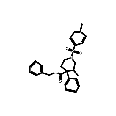 Cc1ccc(S(=O)(=O)N2CCC(C(=O)OCc3ccccc3)(c3ccccc3)C(C)C2)cc1